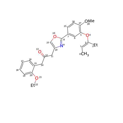 CC=C(CC)Oc1cc(-c2nc(CC(=O)Cc3ccccc3OCC)co2)ccc1OC